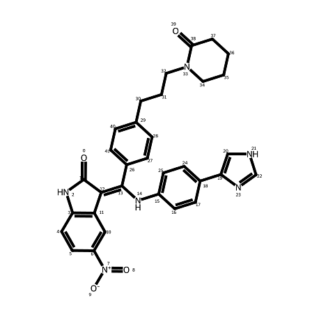 O=C1Nc2ccc([N+](=O)[O-])cc2C1=C(Nc1ccc(-c2c[nH]cn2)cc1)c1ccc(CCCN2CCCCC2=O)cc1